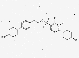 CCC[C@H]1CC[C@H](c2ccc(CCOC(F)(F)c3ccc([C@H]4CC[C@H](CC)CC4)c(F)c3F)cc2)CC1